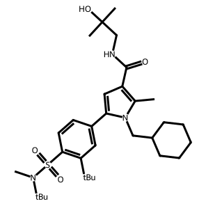 Cc1c(C(=O)NCC(C)(C)O)cc(-c2ccc(S(=O)(=O)N(C)C(C)(C)C)c(C(C)(C)C)c2)n1CC1CCCCC1